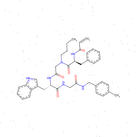 C=CC(=O)N[C@@H](Cc1ccccc1)C(=O)N(CCCC)CC(=O)N[C@@H](Cc1c[nH]c2ccccc12)C(=O)NCC(=O)NCc1ccc(C)cc1